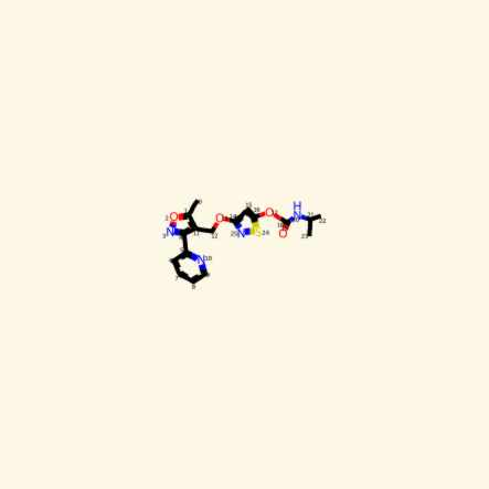 Cc1onc(-c2ccccn2)c1COc1cc(OC(=O)NC(C)C)sn1